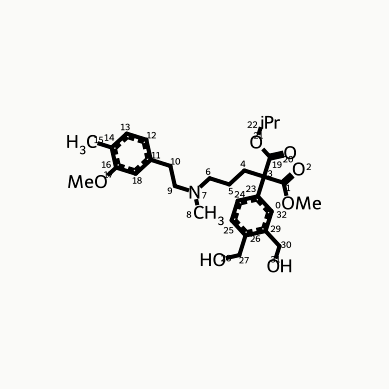 COC(=O)C(CCCN(C)CCc1ccc(C)c(OC)c1)(C(=O)OC(C)C)c1ccc(CO)c(CO)c1